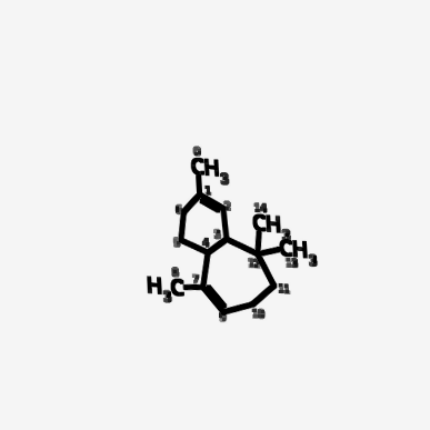 CC1=CC2C(CC1)C(C)=CCCC2(C)C